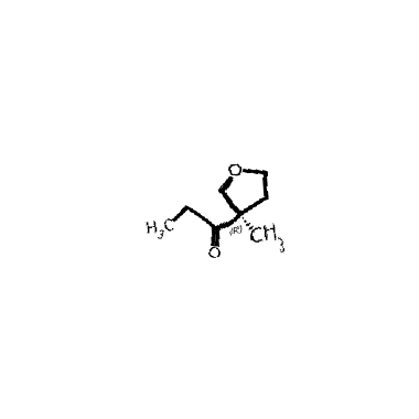 CCC(=O)[C@]1(C)CCOC1